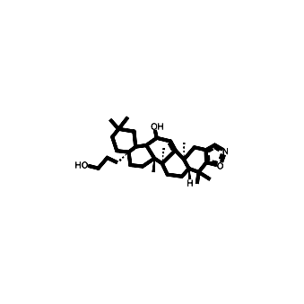 CC1(C)CC[C@]2(CCCO)CC[C@]3(C)C(C(O)C=C4[C@@]5(C)Cc6cnoc6C(C)(C)[C@@H]5CC[C@]43C)C2C1